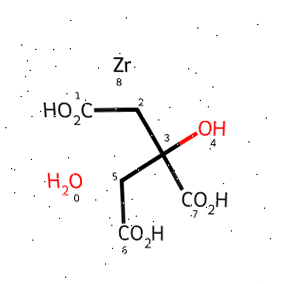 O.O=C(O)CC(O)(CC(=O)O)C(=O)O.[Zr]